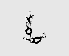 FC(F)C(F)(F)Oc1ccc(-n2c(Cl)nc3ccc(Cl)cc32)cc1